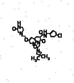 CC1(C)CN(C(=O)Cn2c(=O)c(C(=O)NCc3ccc(Cl)cc3)cc3cc(OCCN4CCNC(=O)C4)cnc32)C1